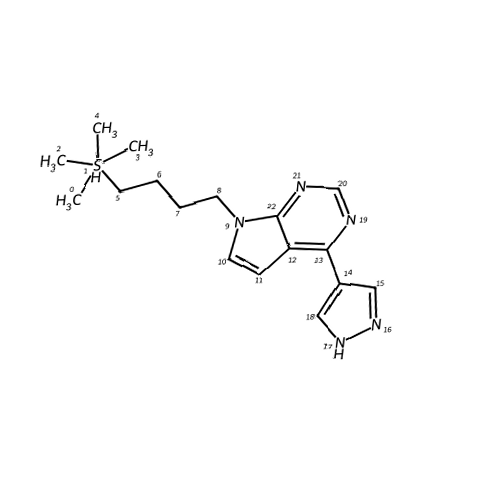 C[SH](C)(C)(C)CCCCn1ccc2c(-c3cn[nH]c3)ncnc21